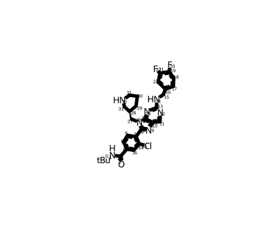 CC(C)(C)NC(=O)c1ccc(-c2nc3cnc(NCc4ccc(F)c(F)c4)nc3n2C[C@@H]2CCCNC2)c(Cl)c1